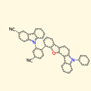 N#Cc1ccc(-c2cccc3c2oc2c3ccc3c2c2ccccc2n3-c2ccccc2)c(-n2c3ccccc3c3cc(C#N)ccc32)c1